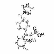 Cc1cccc2c(-c3ccc(Cn4cncn4)cc3)c(C(=O)O)[nH]c12